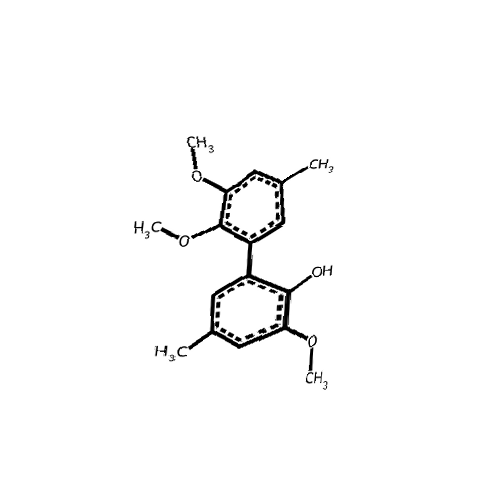 COc1cc(C)cc(-c2cc(C)cc(OC)c2OC)c1O